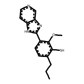 CCCc1ccc(-c2nc3cnccc3[nH]2)c(OC)c1S